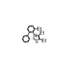 CCC1=C(CC)N(c2c(CC)cccc2-c2ccccc2)[C]S1